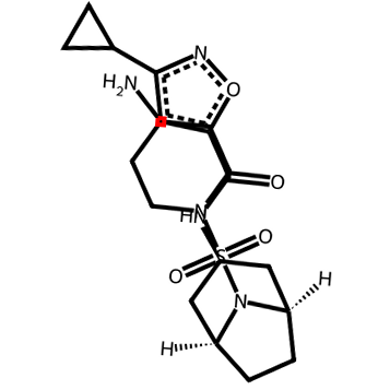 NC1CCN(S(=O)(=O)N2[C@@H]3CC[C@H]2C[C@@H](NC(=O)c2cc(C4CC4)no2)C3)CC1